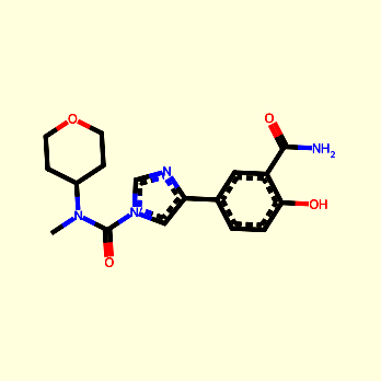 CN(C(=O)n1cnc(-c2ccc(O)c(C(N)=O)c2)c1)C1CCOCC1